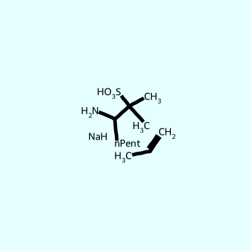 C=CC.CCCCCC(N)C(C)(C)S(=O)(=O)O.[NaH]